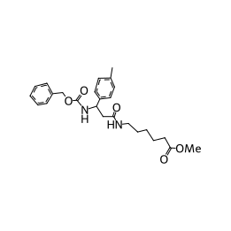 COC(=O)CCCCCNC(=O)CC(NC(=O)OCc1ccccc1)c1ccc(C)cc1